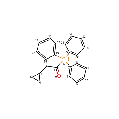 O=C(CC1CC1)[PH](c1ccccc1)(c1ccccc1)c1ccccc1